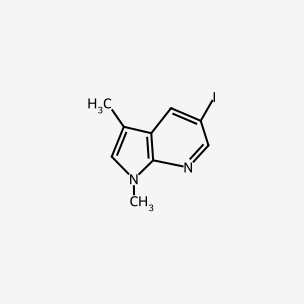 Cc1cn(C)c2ncc(I)cc12